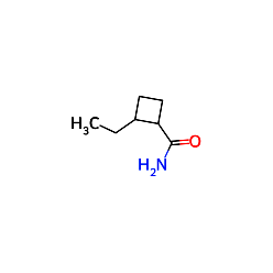 CCC1CCC1C(N)=O